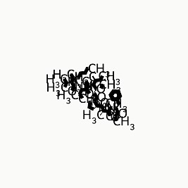 CCCCCN(C)[C@H](C(=O)N[C@H](C(=O)N(C)[C@@H]([C@@H](C)CC)[C@@H](CC(=O)N1CCC[C@H]1[C@H](OC)[C@@H](C)C(=O)N[C@@H](Cc1ccccc1)C(=O)OC)OC)C(C)C)C(C)C